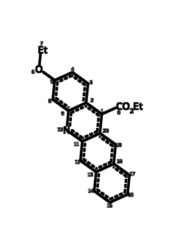 CCOC(=O)c1c2ccc(OCC)cc2nc2cc3ccccc3cc12